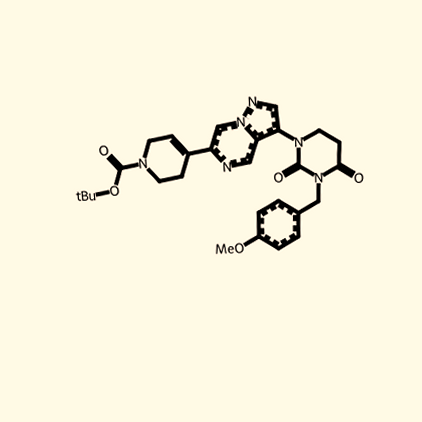 COc1ccc(CN2C(=O)CCN(c3cnn4cc(C5=CCN(C(=O)OC(C)(C)C)CC5)ncc34)C2=O)cc1